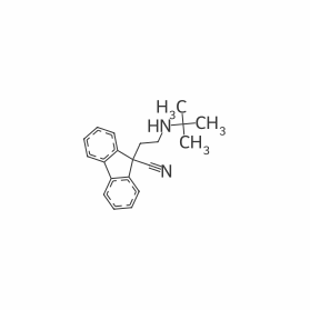 CC(C)(C)NCCC1(C#N)c2ccccc2-c2ccccc21